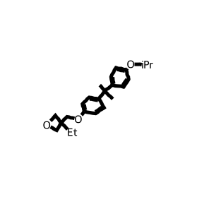 CCC1(COc2ccc(C(C)(C)c3ccc(OC(C)C)cc3)cc2)COC1